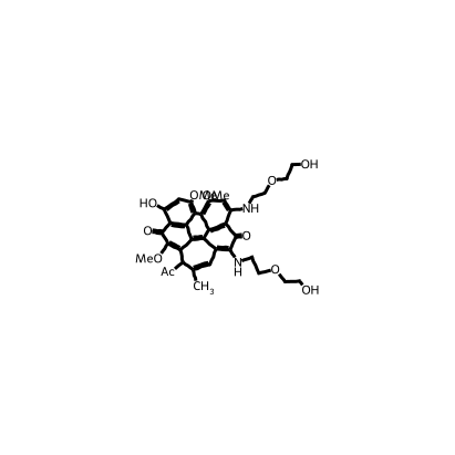 COc1c2c3c4c(c(NCCOCCO)c(=O)c5c(NCCOCCO)cc(OC)c(c6c(OC)cc(O)c(c1=O)c63)c54)C=C(C)C2C(C)=O